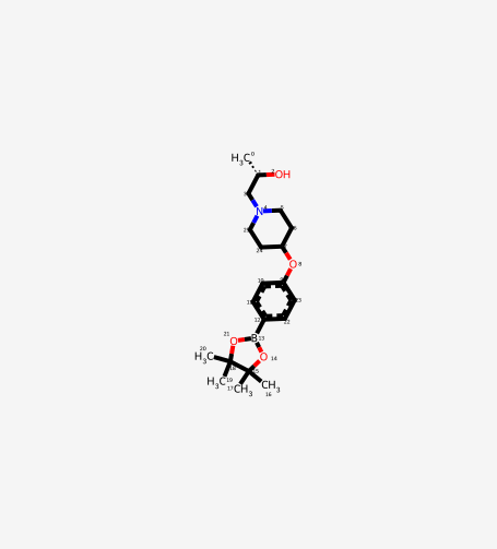 C[C@H](O)CN1CCC(Oc2ccc(B3OC(C)(C)C(C)(C)O3)cc2)CC1